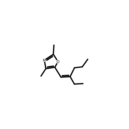 CCC/C(=C\c1oc(C)nc1C)CC